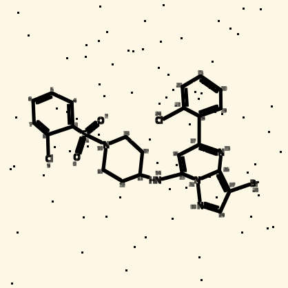 O=S(=O)(c1ccccc1Cl)N1CCC(Nc2cc(-c3ccccc3Cl)nc3c(Br)cnn23)CC1